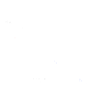 CCOC(=O)C1(c2ccc(N)cn2)CCC(O[Si](C)(C)C(C)(C)C)CC1